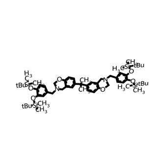 CC(C)(c1ccc2c(c1)CN(Cc1ccc(O[Si](C)(C)C(C)(C)C)c(O[Si](C)(C)C(C)(C)C)c1)CO2)c1ccc2c(c1)CN(Cc1ccc(O[Si](C)(C)C(C)(C)C)c(O[Si](C)(C)C(C)(C)C)c1)CO2